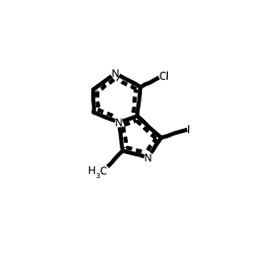 Cc1nc(I)c2c(Cl)nccn12